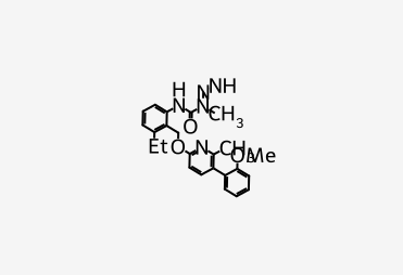 CCc1cccc(NC(=O)N(C)N=N)c1COc1ccc(-c2ccccc2OC)c(C)n1